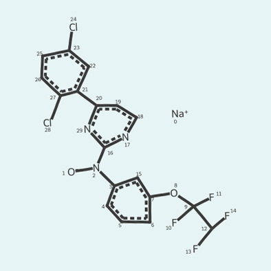 [Na+].[O-]N(c1cccc(OC(F)(F)C(F)F)c1)c1nccc(-c2cc(Cl)ccc2Cl)n1